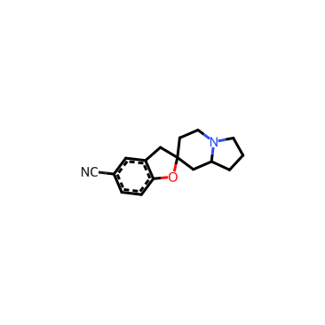 N#Cc1ccc2c(c1)CC1(CCN3CCCC3C1)O2